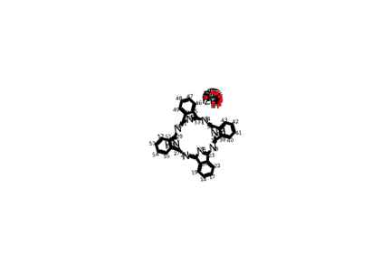 [F][Zn]([F])([F])([F])([F])([F])([F])([F])([F])([F])([F])([F])([F])([F])([F])[F].c1ccc2c(c1)-c1nc-2nc2[nH]c(nc3nc(nc4[nH]c(n1)c1ccccc41)-c1ccccc1-3)c1ccccc21